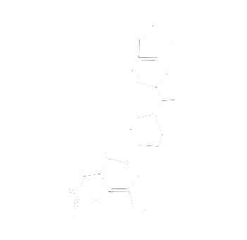 COc1nc(N2CCN(C(C)c3ccc4c(c3)OCC4)CC2)nc2c1CS(=O)(=O)C2